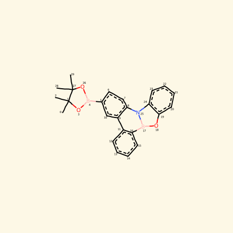 CC1(C)OB(c2ccc3c(c2)-c2ccccc2B2Oc4ccccc4N23)OC1(C)C